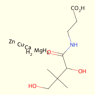 CC(C)(CO)C(O)C(=O)NCCC(=O)O.[CaH2].[Cu].[MgH2].[Zn]